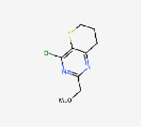 COCc1nc(Cl)c2c(n1)CCCS2